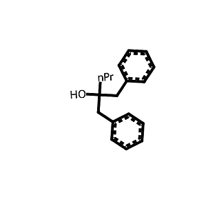 CCCC(O)(Cc1ccccc1)Cc1ccccc1